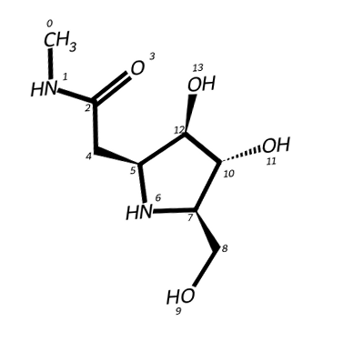 CNC(=O)C[C@@H]1N[C@H](CO)[C@@H](O)[C@@H]1O